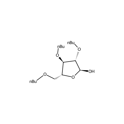 CCCCOC[C@H]1O[C@H](O)[C@@H](OCCCC)[C@@H]1OCCCC